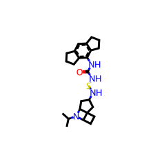 CC(C)N1C2CCC23CC(NSNC(=O)Nc2c4c(cc5c2CCC5)CCC4)CC13